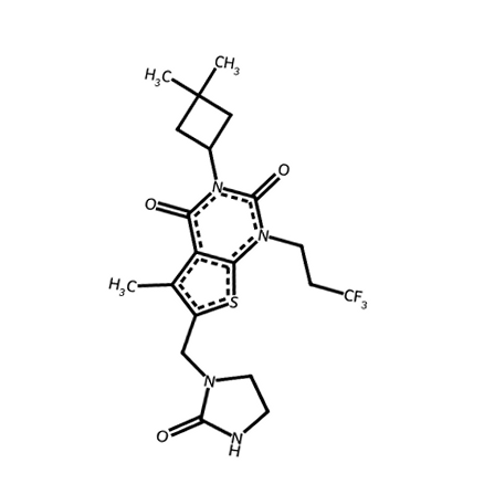 Cc1c(CN2CCNC2=O)sc2c1c(=O)n(C1CC(C)(C)C1)c(=O)n2CCC(F)(F)F